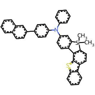 C[Si]1(C)c2cc(N(c3ccccc3)c3ccc(-c4ccc5ccccc5c4)cc3)ccc2-c2c1ccc1c2sc2ccccc21